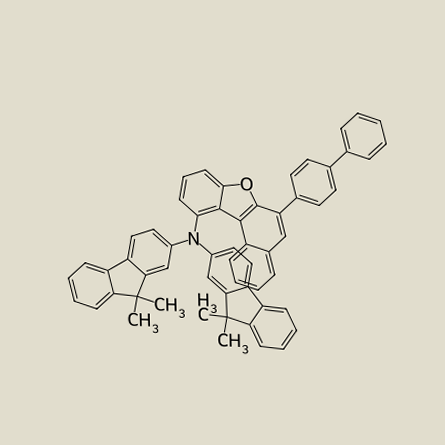 CC1(C)c2ccccc2-c2ccc(N(c3ccc4c(c3)C(C)(C)c3ccccc3-4)c3cccc4oc5c(-c6ccc(-c7ccccc7)cc6)cc6ccccc6c5c34)cc21